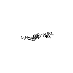 O=C(CCC[C@@H](CO[N+](=O)[O-])O[N+](=O)[O-])O[C@@H]1CO[C@H]2[C@@H]1OC[C@H]2OC(=O)Oc1ccc([N+](=O)[O-])cc1